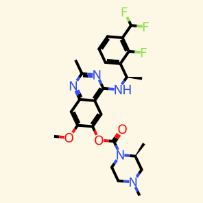 COc1cc2nc(C)nc(N[C@H](C)c3cccc(C(F)F)c3F)c2cc1OC(=O)N1CCN(C)C[C@@H]1C